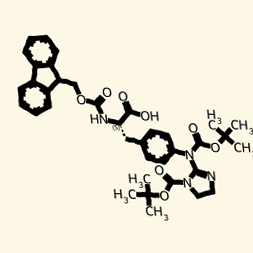 CC(C)(C)OC(=O)N1CCN=C1N(C(=O)OC(C)(C)C)c1ccc(C[C@H](NC(=O)OCC2c3ccccc3-c3ccccc32)C(=O)O)cc1